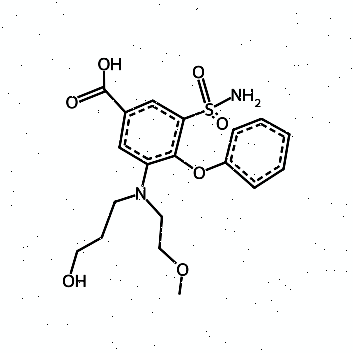 COCCN(CCCO)c1cc(C(=O)O)cc(S(N)(=O)=O)c1Oc1ccccc1